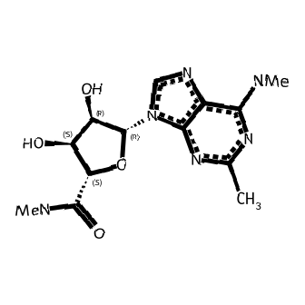 CNC(=O)[C@H]1O[C@@H](n2cnc3c(NC)nc(C)nc32)[C@H](O)[C@@H]1O